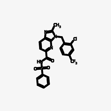 Cc1nc2ccc(C(=O)NS(=O)(=O)c3ccccc3)nc2n1Cc1ccc(C(F)(F)F)cc1Cl